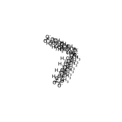 C[N+](C)(C)C.C[N+](C)(C)C.C[N+](C)(C)C.C[N+](C)(C)C.C[N+](C)(C)C.C[N+](C)(C)C.C[N+](C)(C)C.O=C([O-])C(=O)[O-].O=C([O-])C(=O)[O-].[O-]B([O-])[O-]